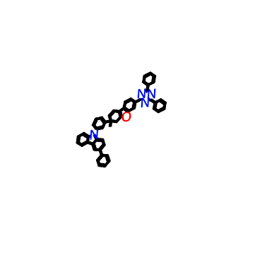 CC1(c2cccc(-n3c4ccccc4c4cc(-c5ccccc5)ccc43)c2)C=Cc2c(oc3cc(-c4nc(-c5ccccc5)nc(C5C=CC=CC5)n4)ccc23)C1